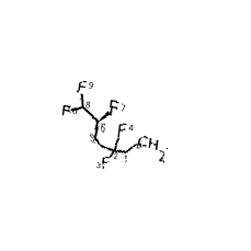 [CH2]CC(F)(F)C[C@H](F)C(F)F